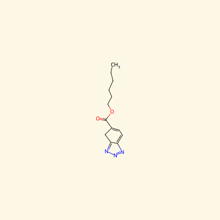 CCCCCCOC(=O)C1=CC=C2N=NN=C2C1